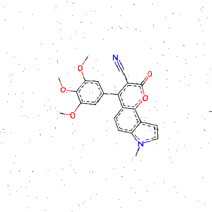 COc1cc(-c2c(C#N)c(=O)oc3c2ccc2c3ccn2C)cc(OC)c1OC